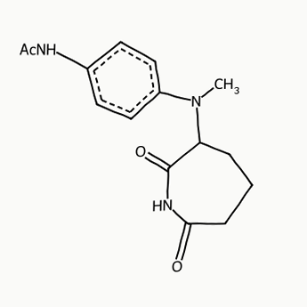 CC(=O)Nc1ccc(N(C)C2CCCC(=O)NC2=O)cc1